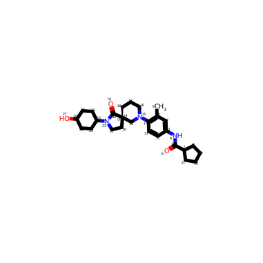 Cc1cc(NC(=O)C2CCCC2)ccc1N1CCC[C@]2(CCN(C3CCC(O)CC3)C2=O)C1